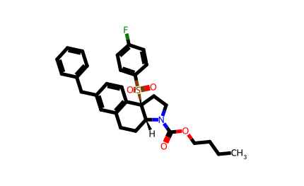 CCCCOC(=O)N1CC[C@@]2(S(=O)(=O)c3ccc(F)cc3)c3ccc(Cc4ccccc4)cc3CC[C@@H]12